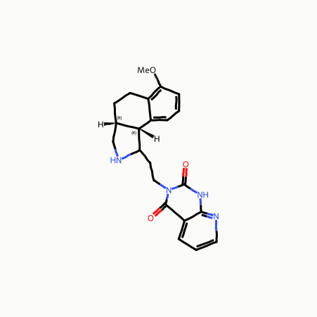 COc1cccc2c1CC[C@H]1CNC(CCn3c(=O)[nH]c4ncccc4c3=O)[C@@H]21